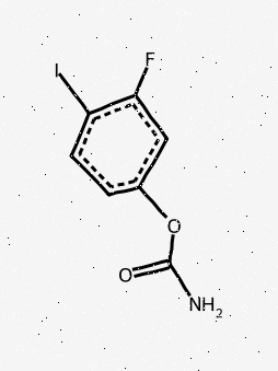 NC(=O)Oc1ccc(I)c(F)c1